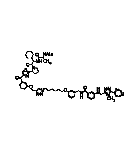 CNC(C)C(=O)NC(C(=O)N1CCCC1c1nc(C(=O)c2cccc(OCc3cn(CCCCCCOc4cccc(CNC(=O)c5cccc(NCc6nnc(-c7ccncn7)n6C)c5)c4)nn3)c2)cs1)C1CCCCC1